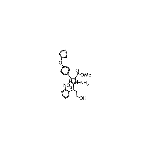 COC(=O)c1c(-c2ccc(Oc3ccccc3)cc2)nc(C(CCO)c2ccccc2[N+](=O)[O-])n1N